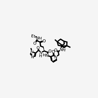 CCNC(=O)C(=O)CC[C@H](NC(=O)c1cncn1C)C(=O)Nc1cccn(CC(=O)NC23CC4CC(C)(CC(C)(C4)C2)C3)c1=O